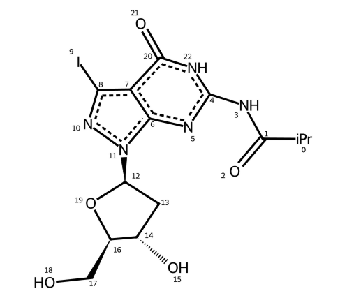 CC(C)C(=O)Nc1nc2c(c(I)nn2[C@H]2C[C@H](O)[C@@H](CO)O2)c(=O)[nH]1